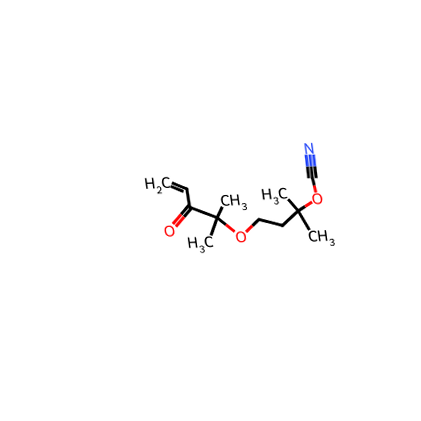 C=CC(=O)C(C)(C)OCCC(C)(C)OC#N